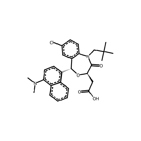 CN(C)c1ccc([C@H]2O[C@H](CC(=O)O)C(=O)N(CC(C)(C)C)c3ccc(Cl)cc32)c2ccccc12